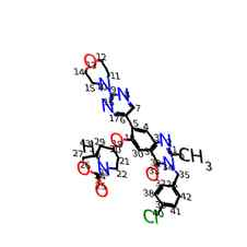 Cc1nc2cc(-c3cnc(N4CCOCC4)nc3)c(O[C@H]3CCN4C(=O)OC[C@@H]4C3)cc2c(=O)n1Cc1ccc(Cl)cc1